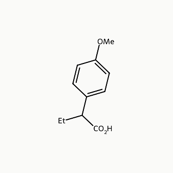 CCC(C(=O)O)c1ccc(OC)cc1